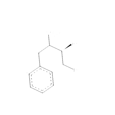 CCOC(=O)C(Cc1ccccc1)[C@H](CBr)C(C)C